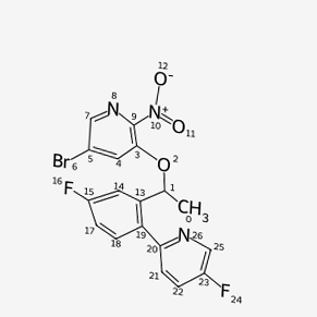 CC(Oc1cc(Br)cnc1[N+](=O)[O-])c1cc(F)ccc1-c1ccc(F)cn1